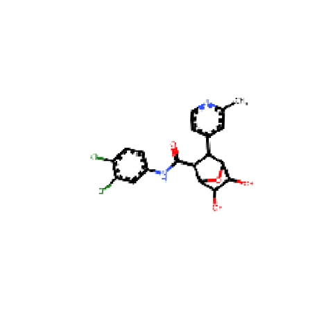 Cc1cc(C2C3OC(C(O)C3O)C2C(=O)Nc2ccc(Cl)c(Cl)c2)ccn1